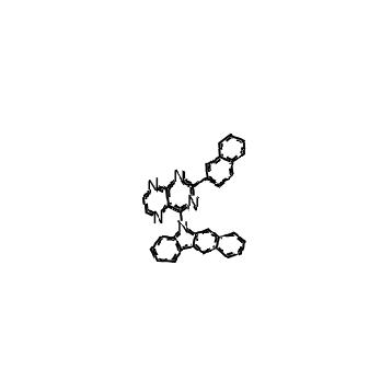 c1ccc2cc(-c3nc(-n4c5ccccc5c5cc6ccccc6cc54)c4nccnc4n3)ccc2c1